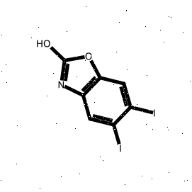 Oc1nc2cc(I)c(I)cc2o1